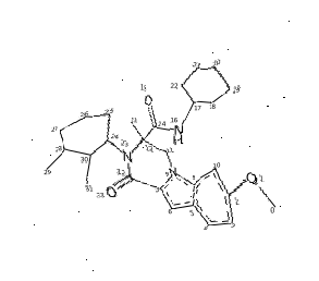 COc1ccc2cc3n(c2c1)CC(C)(C(=O)NC1CCCCC1)N(C1CCCC(C)C1C)C3=O